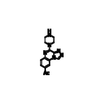 CC(=O)c1ccc2nc(N3CCNCC3)c3nncn3c2c1